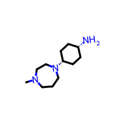 CN1CCCN([C@H]2CC[C@@H](N)CC2)CC1